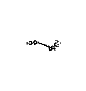 CCCC(C=O)N1Cc2c(SCCCCCCCCN3CCC(N4CCNCC4)CC3)cccc2C1=O